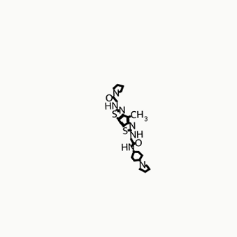 Cc1c2nc(NCC(=O)NC3CCC(N4CCCC4)CC3)sc2cc2sc(NCC(=O)N3CCCC3)nc12